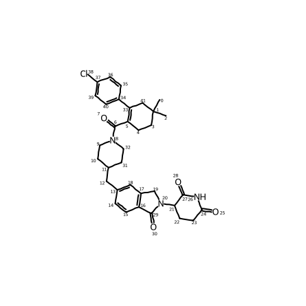 CC1(C)CCC(C(=O)N2CCC(Cc3ccc4c(c3)CN(C3CCC(=O)NC3=O)C4=O)CC2)=C(c2ccc(Cl)cc2)C1